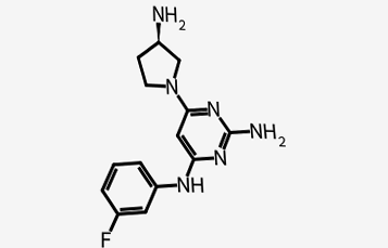 Nc1nc(Nc2cccc(F)c2)cc(N2CC[C@@H](N)C2)n1